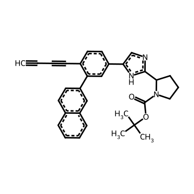 C#CC#Cc1ccc(-c2cnc(C3CCCN3C(=O)OC(C)(C)C)[nH]2)cc1-c1ccc2ccccc2c1